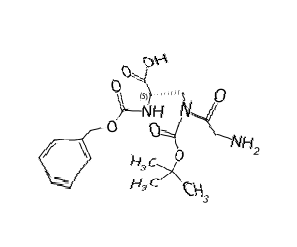 CC(C)(C)OC(=O)N(C[C@H](NC(=O)OCc1ccccc1)C(=O)O)C(=O)CN